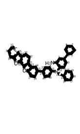 Nc1cc(-c2ccccc2)ccc1N(Cc1ccccc1)c1ccc(-c2ccc3oc4c(ccc5c6ccccc6oc54)c3c2)cc1